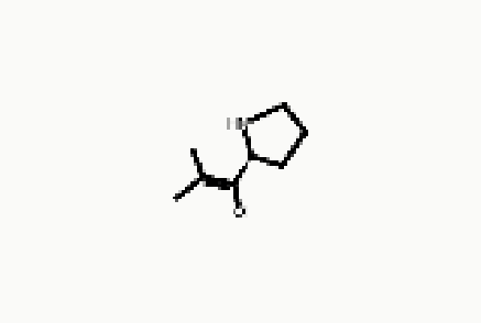 CC(C)=C(O)[C@@H]1CCCN1